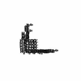 NCC(=O)[O-].NCC(=O)[O-].NCC(=O)[O-].NCC(=O)[O-].NCC(=O)[O-].NCC(=O)[O-].NCC(=O)[O-].O.O.O.O.O.O.O.[Al+3].[Al+3].[Cl-].[Cl-].[Cl-].[Cl-].[Cl-].[Cl-].[Cl-].[Zr+4].[Zr+4]